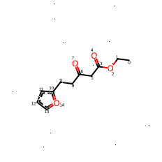 CCOC(=O)CC(=O)CCc1ccco1